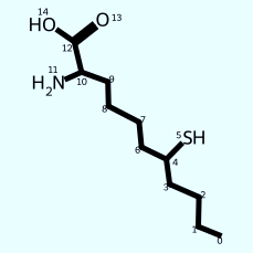 CCCCC(S)CCCCC(N)C(=O)O